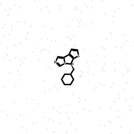 c1cc2c(s1)[C@@H](CC1CCCCC1)n1cncc1-2